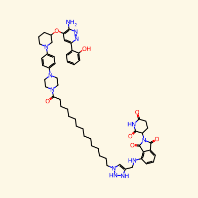 Nc1nnc(-c2ccccc2O)cc1OC1CCCN(c2ccc(N3CCN(C(=O)CCCCCCCCCCCCCCN4C=C(CNc5cccc6c5C(=O)N(C5CCC(=O)NC5=O)C6=O)NN4)CC3)cc2)C1